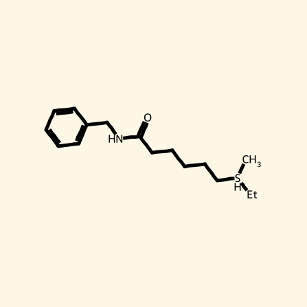 CC[SH](C)CCCCCC(=O)NCc1ccccc1